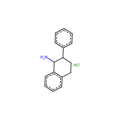 Cl.NC1c2ccccc2CCC1c1ccccc1